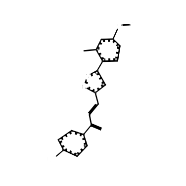 COc1ccc(-c2cc(C=CC(=O)c3ccc(C)cc3)[nH]n2)c(F)c1